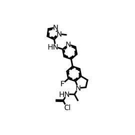 C=C(Cl)NC(C)N1CCc2cc(-c3ccnc(Nc4ccnn4C)c3)cc(F)c21